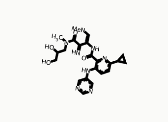 CN/C=C(/NC(=O)c1nc(C2CC2)ccc1Nc1cncnc1)C(=N)C(=O)N(C)CC(O)CO